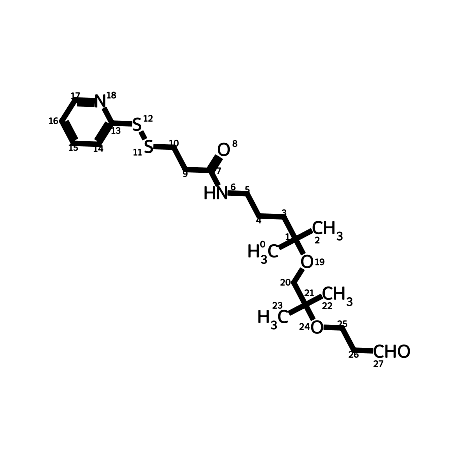 CC(C)(CCCNC(=O)CCSSc1ccccn1)OCC(C)(C)OCCC=O